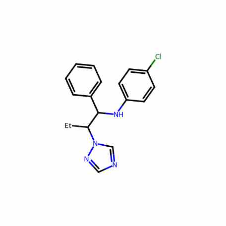 CCC(C(Nc1ccc(Cl)cc1)c1ccccc1)n1cncn1